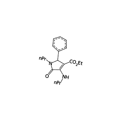 CCCNC1=C(C(=O)OCC)C(c2ccccc2)N(CCC)C1=O